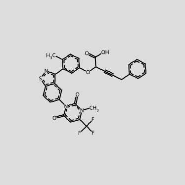 Cc1ccc(OC(C#CCc2ccccc2)C(=O)O)cc1-c1nsc2ccc(-n3c(=O)cc(C(F)(F)F)n(C)c3=O)cc12